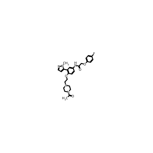 CC(=O)N1CCN(CCOc2ccc(NC(=O)COc3ccc(F)cc3)cc2-c2ccnn2C)CC1